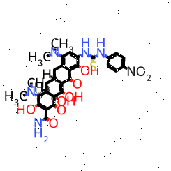 CN(C)c1cc(NC(=S)Nc2ccc([N+](=O)[O-])cc2)c(O)c2c1C[C@H]1C[C@H]3[C@H](N(C)C)C(O)=C(C(N)=O)C(=O)[C@@]3(O)C(O)=C1C2=O